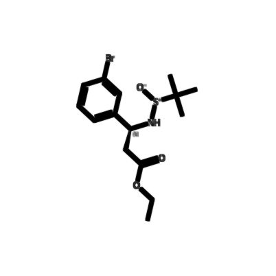 CCOC(=O)C[C@H](N[S+]([O-])C(C)(C)C)c1cccc(Br)c1